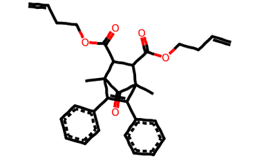 C=CCCOC(=O)C1C(C(=O)OCCC=C)C2(C)C(=O)C1(C)C(c1ccccc1)=C2c1ccccc1